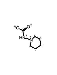 [O]C(=O)NN1CCCCC1